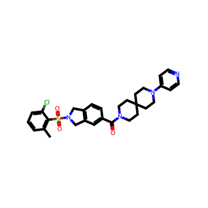 Cc1cccc(Cl)c1S(=O)(=O)N1Cc2ccc(C(=O)N3CCC4(CC3)CCN(c3ccncc3)CC4)cc2C1